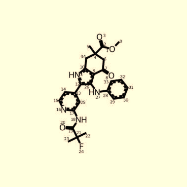 COC(=O)C1(C)CC(=O)c2c([nH]c(-c3ccnc(NC(=O)C(C)(C)F)c3)c2Nc2ccccc2)C1